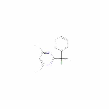 COc1cc(OC)nc(C(Cl)(C(=O)[O-])c2ccccc2)n1.[Li+]